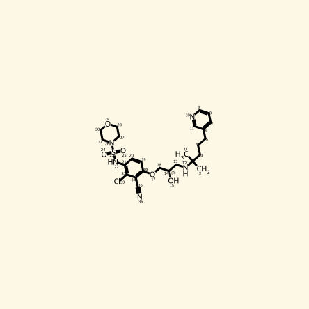 CC(C)(CCCc1cccnc1)NC[C@@H](O)COc1ccc(NS(=O)(=O)N2CCOCC2)c(Cl)c1C#N